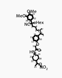 CCCCCCC(C#N)(CCCN(C)C(C)c1cccc(OCC(=O)NN2CCC(C(C)O[N+](=O)[O-])CC2)c1)c1ccc(OC)c(OC)c1